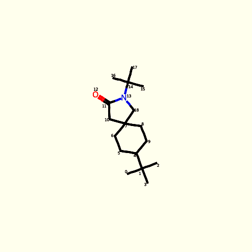 CC(C)(C)C1CCC2(CC1)CC(=O)N(C(C)(C)C)C2